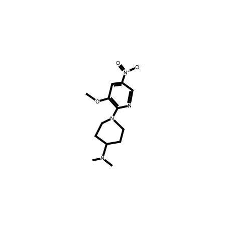 COc1cc([N+](=O)[O-])cnc1N1CCC(N(C)C)CC1